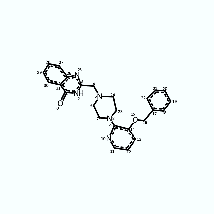 O=c1[nH]c(CN2CCN(c3ncccc3OCc3ccccc3)CC2)nc2ccccc12